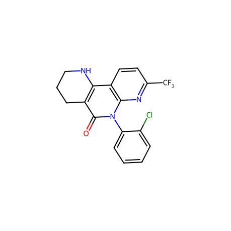 O=c1c2c(c3ccc(C(F)(F)F)nc3n1-c1ccccc1Cl)NCCC2